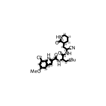 COc1cc(Cl)c2[nH]c(C(=O)NC(CC(C)(C)C)C(=O)NC(C#N)CC3CCCNC3=O)cc2c1